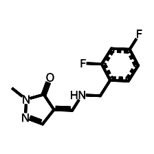 CN1N=CC(=CNCc2ccc(F)cc2F)C1=O